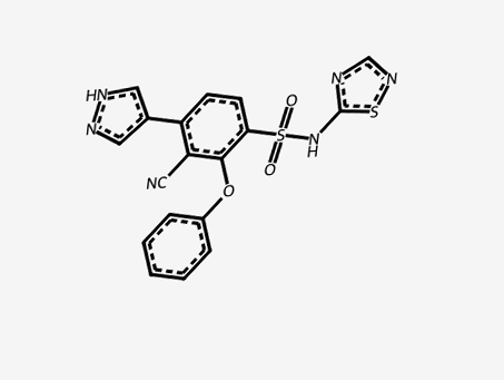 N#Cc1c(-c2cn[nH]c2)ccc(S(=O)(=O)Nc2ncns2)c1Oc1ccccc1